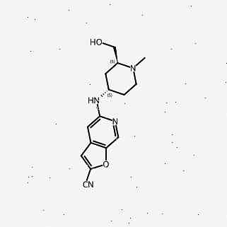 CN1CC[C@H](Nc2cc3cc(C#N)oc3cn2)C[C@H]1CO